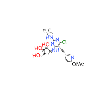 COc1ccc(C#Cc2c(Cl)nc(NCC(F)(F)F)nc2N[C@@H]2C[C@H](CO)[C@@H](O)[C@H]2O)cn1